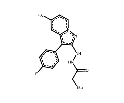 CC(C)(C)CC(=O)NNc1nn2ccc(C(F)(F)F)cc2c1-c1ccc(F)cc1